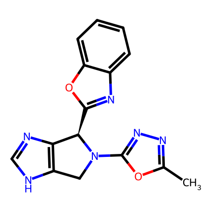 Cc1nnc(N2Cc3[nH]cnc3[C@H]2c2nc3ccccc3o2)o1